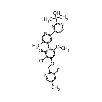 COc1cc(OCc2ncc(C)cc2F)c(Cl)c(=O)n1-c1cc(-c2ccnc(C(C)(C)O)n2)ncc1C